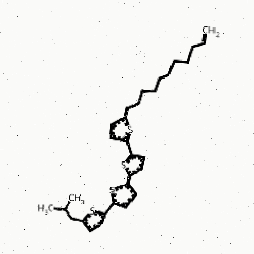 C=CCCCCCCCCCc1ccc(-c2ccc(-c3ccc(-c4ccc(CC(C)C)s4)s3)s2)s1